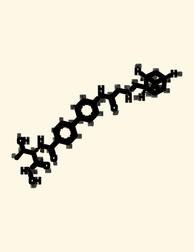 C[C@@H](O)[C@H](NC(=O)c1ccc(-c2ccc(NC(=O)CNC[C@@H]3CC[C@H]4C[C@@H]3C4(C)C)cc2)cc1)C(=O)NO